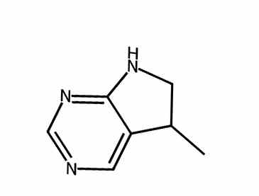 CC1CNc2ncncc21